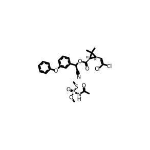 CC1(C)[C@H](C(=O)OC(C#N)c2cccc(Oc3ccccc3)c2)[C@@H]1C=C(Cl)Cl.COP(=O)(NC(C)=O)SC